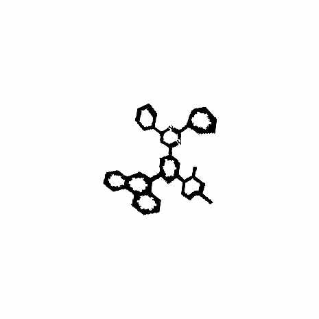 CC1=CCC(c2cc(C3=NC(c4ccccc4)=NC(C4C=CC=CC4)C3)cc(-c3cc4ccccc4c4ccccc34)c2)C(C)C1